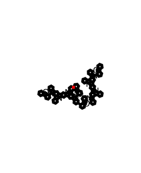 c1ccc2c(c1)oc1c(-n3c4ccccc4c4c5c6ccccc6n6c7cc8c9cc%10c(c%11ccccc%11n%10-c%10cccc%11c%10oc%10cccc(-c%12ccc%13c%14cc%15c%16cc%17c(cc%16n%16c%18ccccc%18c(c%14n(-c%14cccc%18c%14oc%14ccccc%14%18)c%13c%12)c%15%16)c%12cc%13c%14ccccc%14n(-c%14cccc%15c%14oc%14ccccc%14%15)c%13c%13c%14ccccc%14n%17c%12%13)c%10%11)c%10c%11ccccc%11n(c8cc7c(cc43)c56)c9%10)cccc12